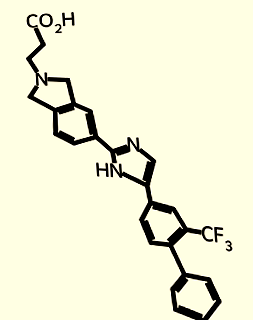 O=C(O)CCN1Cc2ccc(-c3ncc(-c4ccc(-c5ccccc5)c(C(F)(F)F)c4)[nH]3)cc2C1